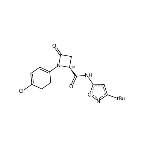 CC(C)(C)c1cc(NC(=O)[C@@H]2CC(=O)N2C2=CC=C(Cl)CC2)on1